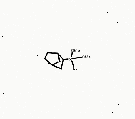 CC[Si](OC)(OC)C1CC2CCC1C2